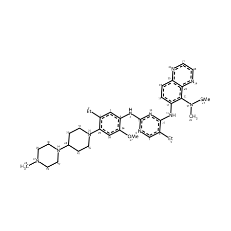 CCc1cc(Nc2ncc(CC)c(Nc3ccc4nccnc4c3N(C)SC)n2)c(OC)cc1N1CCC(N2CCN(C)CC2)CC1